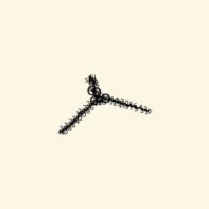 CCCCCC=CCC=CCCCCCCCCOc1ccc(OCCCCCCCCC=CCC=CCCCCC)c(COC(=O)CCCN(C)C)c1